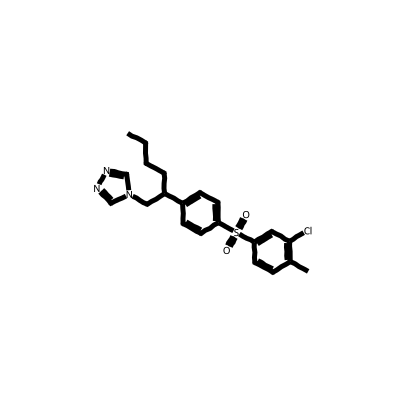 CCCCC(Cn1cnnc1)c1ccc(S(=O)(=O)c2ccc(C)c(Cl)c2)cc1